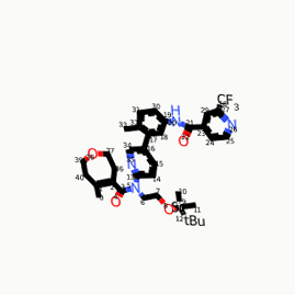 CC1=C(C(=O)N(CCO[Si](C)(C)C(C)(C)C)c2ccc(-c3cc(NC(=O)c4ccnc(C(F)(F)F)c4)ccc3C)cn2)CCOCC1